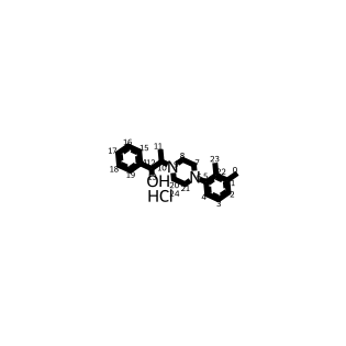 Cc1cccc(N2CCN(C(C)C(O)c3ccccc3)CC2)c1C.Cl